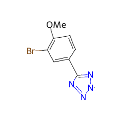 COc1ccc(C2=N[N]N=N2)cc1Br